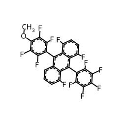 COc1c(F)c(F)c(-c2c3cccc(F)c3c(-c3c(F)c(F)c(F)c(F)c3F)c3c(F)ccc(F)c23)c(F)c1F